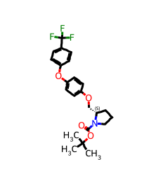 CC(C)(C)OC(=O)N1CCC[C@H]1COc1ccc(Oc2ccc(C(F)(F)F)cc2)cc1